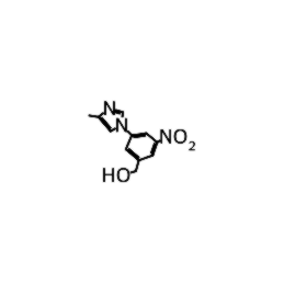 Cc1cn(-c2cc(CO)cc([N+](=O)[O-])c2)cn1